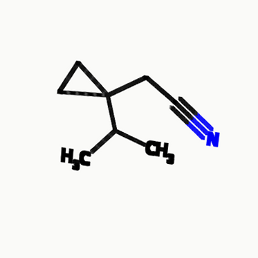 CC(C)C1(CC#N)CC1